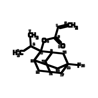 C=CC(=O)OC1(C(C)C)C2CC3CC1CC(F)(C3)C2